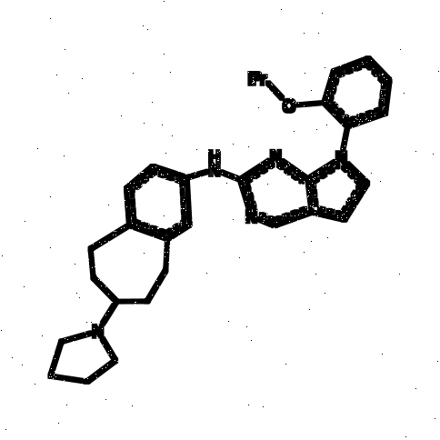 CC(C)Oc1ccccc1-n1ccc2cnc(Nc3ccc4c(c3)CCC(N3CCCC3)CC4)nc21